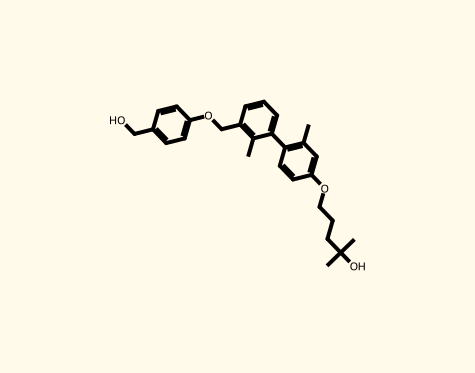 Cc1cc(OCCCC(C)(C)O)ccc1-c1cccc(COc2ccc(CO)cc2)c1C